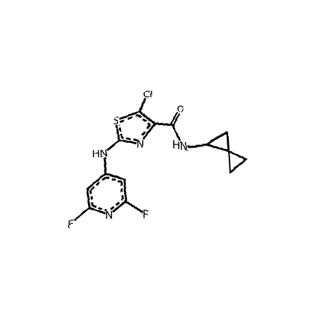 O=C(NC1CC12CC2)c1nc(Nc2cc(F)nc(F)c2)sc1Cl